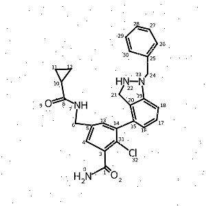 NC(=O)c1cc(CNC(=O)C2CC2)cc(-c2cccc3c2CNN3Cc2ccccc2)c1Cl